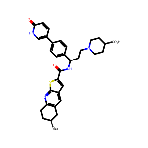 CC(C)(C)[C@H]1CCc2nc3sc(C(=O)N[C@H](CCN4CCC(C(=O)O)CC4)c4ccc(-c5ccc(=O)[nH]c5)cc4)cc3cc2C1